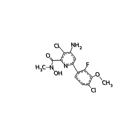 COc1c(Cl)ccc(-c2cc(N)c(Cl)c(C(=O)N(C)O)n2)c1F